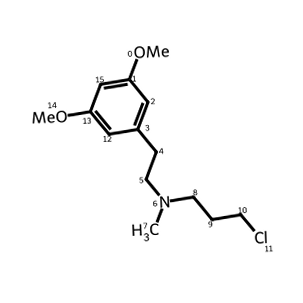 COc1cc(CCN(C)CCCCl)cc(OC)c1